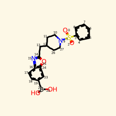 O=S(=O)(c1ccccc1)N1CCC(Cc2nc3ccc(B(O)O)cc3o2)CC1